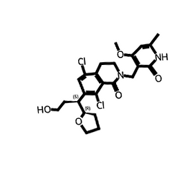 COc1cc(C)[nH]c(=O)c1CN1CCc2c(Cl)cc([C@H](CCO)[C@H]3CCCO3)c(Cl)c2C1=O